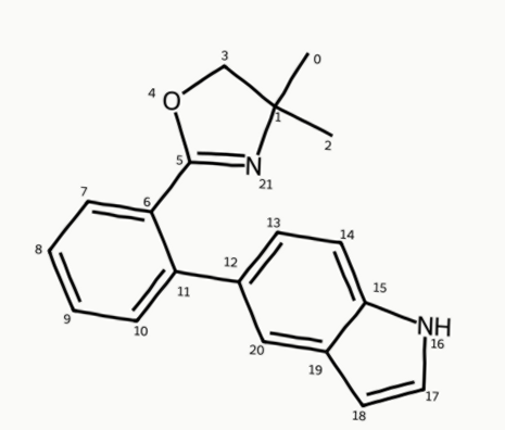 CC1(C)COC(c2ccccc2-c2ccc3[nH]ccc3c2)=N1